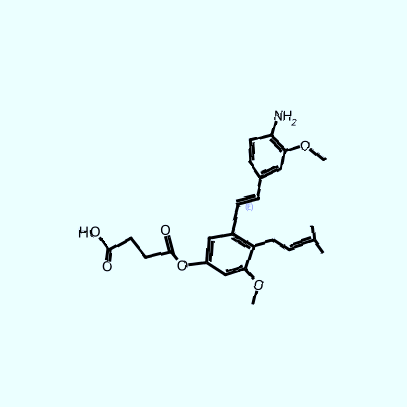 COc1cc(/C=C/c2cc(OC(=O)CCC(=O)O)cc(OC)c2CC=C(C)C)ccc1N